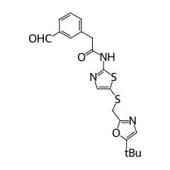 CC(C)(C)c1cnc(CSc2cnc(NC(=O)Cc3cccc(C=O)c3)s2)o1